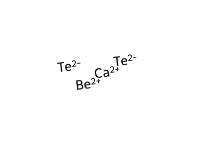 [Be+2].[Ca+2].[Te-2].[Te-2]